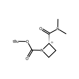 CN(C)C(=O)[C@@H]1CCN1C(=O)OC(C)(C)C